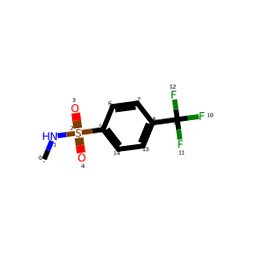 [CH2]NS(=O)(=O)c1ccc(C(F)(F)F)cc1